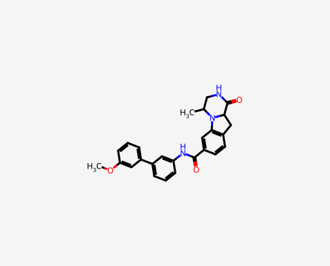 COc1cccc(-c2cccc(NC(=O)c3ccc4c(c3)N3C(C)CNC(=O)C3C4)c2)c1